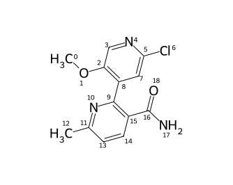 COc1cnc(Cl)cc1-c1nc(C)ccc1C(N)=O